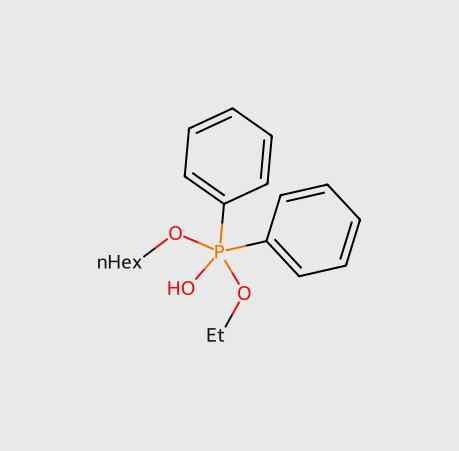 CCCCCCOP(O)(OCC)(c1ccccc1)c1ccccc1